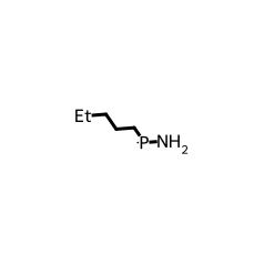 CCCCC[P]N